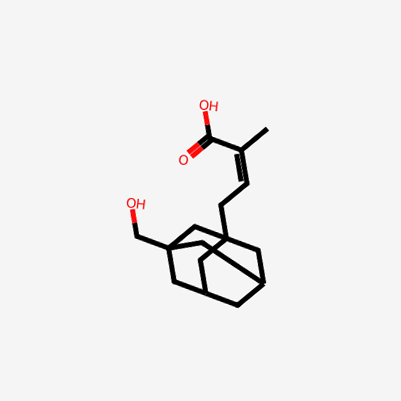 CC(=CCC12CC3CC(CC(CO)(C3)C1)C2)C(=O)O